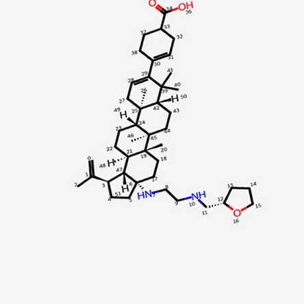 C=C(C)[C@@H]1CC[C@]2(NCCNC[C@@H]3CCCO3)CC[C@]3(C)[C@H](CC[C@@H]4[C@@]5(C)CC=C(C6=CCC(C(=O)O)CC6)C(C)(C)[C@@H]5CC[C@]43C)[C@@H]12